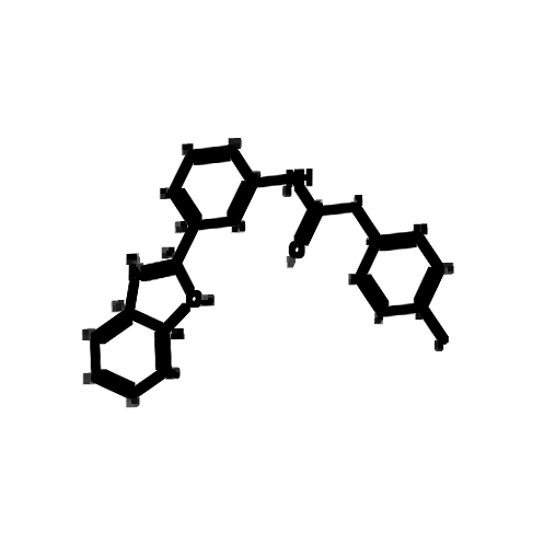 Cc1ccc(CC(=O)Nc2cccc(-c3nc4ccccc4o3)c2)cc1